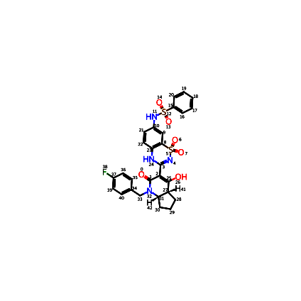 O=C1C(C2=NS(=O)(=O)c3cc(NS(=O)(=O)c4ccccc4)ccc3N2)=C(O)[C@@H]2CCC[C@@H]2N1Cc1ccc(F)cc1